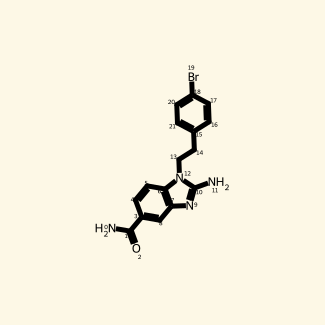 NC(=O)c1ccc2c(c1)nc(N)n2CCc1ccc(Br)cc1